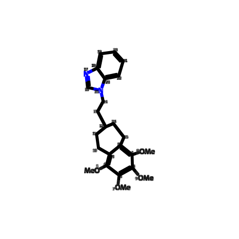 COc1c2c(c(OC)c(OC)c1OC)CCC(CCn1cnc3ccccc31)CC2